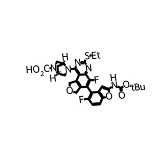 CCSc1nc(N2C[C@H]3C[C@@H]2CN3C(=O)O)c2c3c(c(-c4c(F)ccc5oc(NC(=O)OC(C)(C)C)cc45)c(F)c2n1)COC3